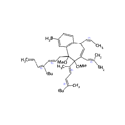 B/C(C)=C/C1=CC(/C=C\C)c2ccc(B)cc2C(C/C=C/C(=C\C=C)C(C)(C)C)(OC)C1(OC)/C(C)=C/C=C(\C)C(C)(C)C